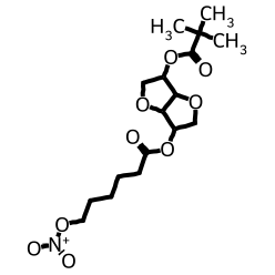 CC(C)(C)C(=O)OC1COC2C(OC(=O)CCCCCO[N+](=O)[O-])COC12